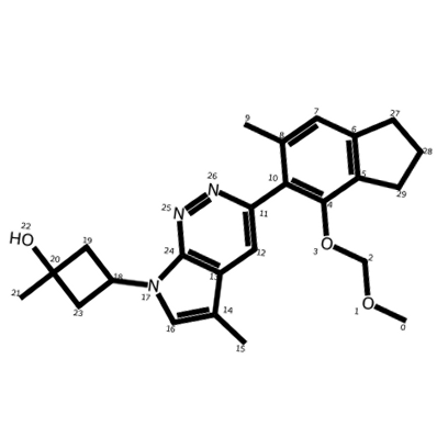 COCOc1c2c(cc(C)c1-c1cc3c(C)cn(C4CC(C)(O)C4)c3nn1)CCC2